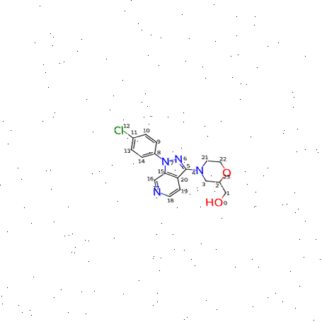 OCC1CN(c2nn(-c3ccc(Cl)cc3)c3cnccc23)CCO1